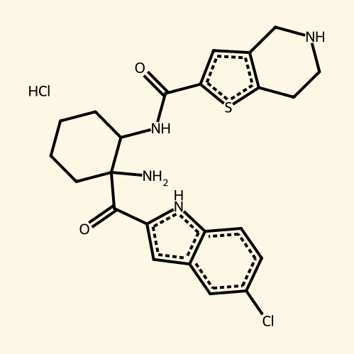 Cl.NC1(C(=O)c2cc3cc(Cl)ccc3[nH]2)CCCCC1NC(=O)c1cc2c(s1)CCNC2